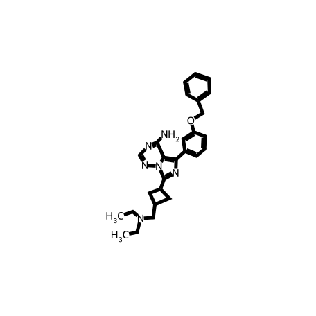 CCN(CC)CC1CC(c2nc(-c3cccc(OCc4ccccc4)c3)c3c(N)ncnn23)C1